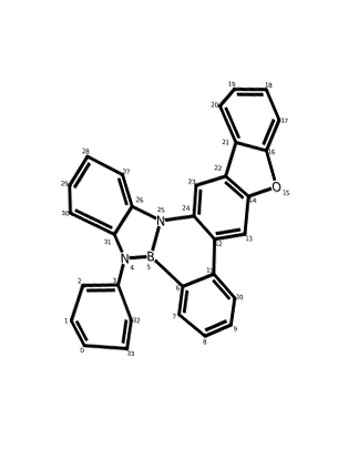 c1ccc(N2B3c4ccccc4-c4cc5oc6ccccc6c5cc4N3c3ccccc32)cc1